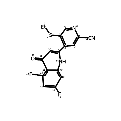 CCSc1cnc(C#N)cc1-c1cc(=O)c2c(F)cc(F)cc2[nH]1